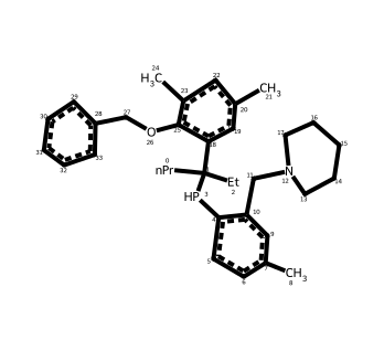 CCCC(CC)(Pc1ccc(C)cc1CN1CCCCC1)c1cc(C)cc(C)c1OCc1ccccc1